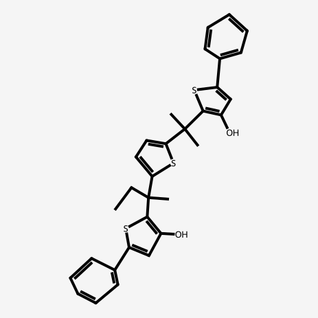 CCC(C)(c1ccc(C(C)(C)c2sc(-c3ccccc3)cc2O)s1)c1sc(-c2ccccc2)cc1O